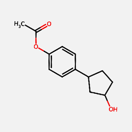 CC(=O)Oc1ccc(C2CCC(O)C2)cc1